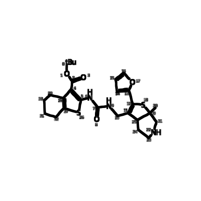 CC(C)(C)OC(=O)c1c(NC(=O)NCC2=C(c3ccco3)SC3(C)CNCCC23)sc2c1CCCC2